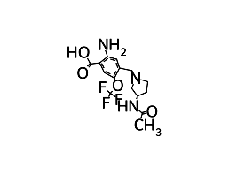 CC(=O)N[C@H]1CCN(Cc2cc(N)c(C(=O)O)cc2OC(F)(F)F)C1